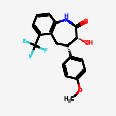 COc1ccc([C@@H]2Cc3c(cccc3C(F)(F)F)NC(=O)[C@@H]2O)cc1